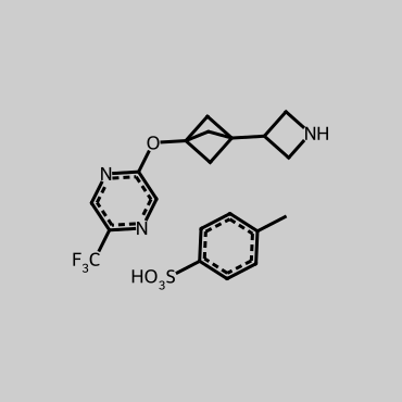 Cc1ccc(S(=O)(=O)O)cc1.FC(F)(F)c1cnc(OC23CC(C4CNC4)(C2)C3)cn1